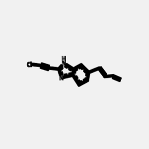 C=CC=Cc1ccc2nc(C#CCl)[nH]c2c1